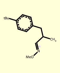 CO/N=C/C(C)Cc1ccc(C(C)(C)C)cc1